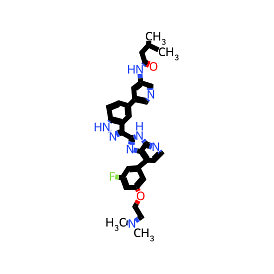 CC(C)CC(=O)Nc1cncc(-c2ccc3[nH]nc(-c4nc5c(-c6cc(F)cc(OCCN(C)C)c6)ccnc5[nH]4)c3c2)c1